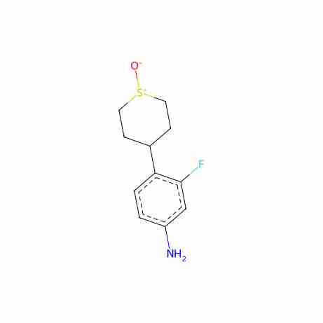 Nc1ccc(C2CC[S+]([O-])CC2)c(F)c1